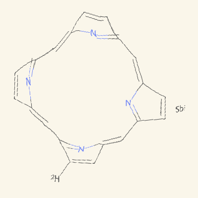 [2H]C1=CC2=CC3=NC(=CC4=NC(=CC5=NC(=CC1=N2)C=C5)C=C4)C=C3.[Sb]